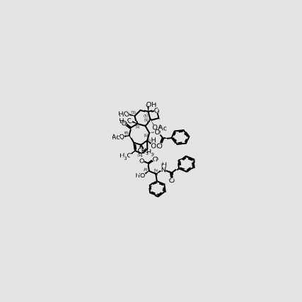 CC(=O)O[C@H]1C(=O)[C@@]2(C)C([C@H](OC(=O)c3ccccc3)[C@]3(O)C[C@H](OC(=O)[C@H](O)[C@@H](NC(=O)c4ccccc4)c4ccccc4)C(C)=C1C3(C)C)[C@]1(OC(C)=O)CO[C@@]1(O)C[C@@H]2O